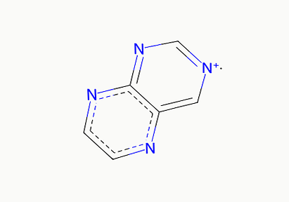 C1=[N+]C=c2nccnc2=N1